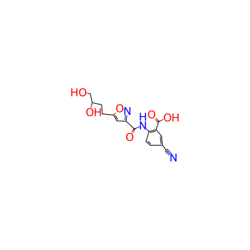 N#Cc1ccc(NC(=O)c2cc(CCC(O)CO)on2)c(C(=O)O)c1